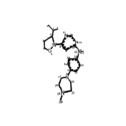 CC(C)C1CCON1c1cc(Nc2ccc(N3CCN(C)CC3)cc2)ncn1